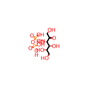 O=C(CO)[C@@H](O)[C@@H](O)[C@H](O)CO.O=P(O)(O)OP(=O)(O)O